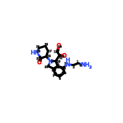 NCCNc1cccc2c1C(C(=O)C=O)N(C1CCCNC1=O)C2